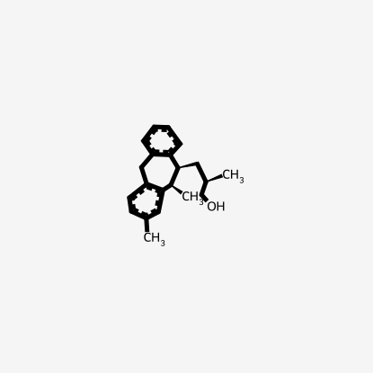 Cc1ccc2c(c1)[C@H](C)[C@H](C[C@@H](C)CO)c1ccccc1C2